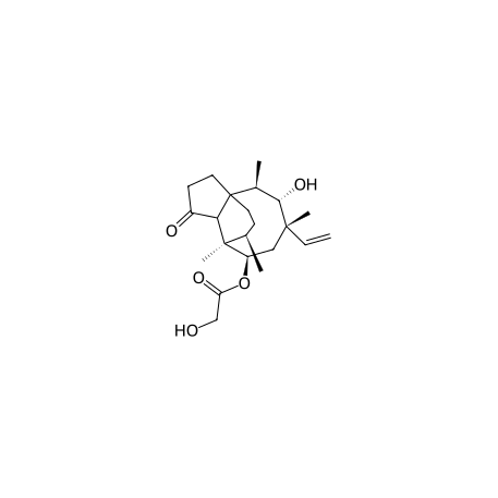 C=C[C@]1(C)C[C@@H](OC(=O)CO)[C@@]2(C)C3C(=O)CCC3(CC[C@H]2C)[C@@H](C)[C@@H]1O